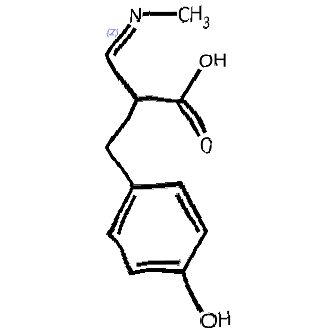 C/N=C\C(Cc1ccc(O)cc1)C(=O)O